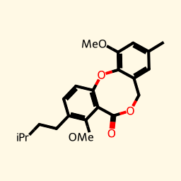 COc1cc(C)cc2c1Oc1ccc(CCC(C)C)c(OC)c1C(=O)OC2